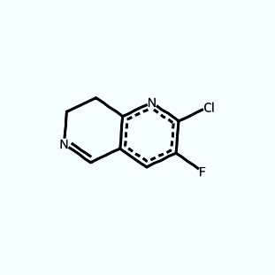 Fc1cc2c(nc1Cl)CCN=C2